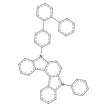 c1ccc(-c2ccccc2-c2ccc(-n3c4ccccc4c4c5c6ccccc6n(-c6ccccc6)c5ccc43)cc2)cc1